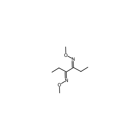 CCC(=NOC)C(CC)=NOC